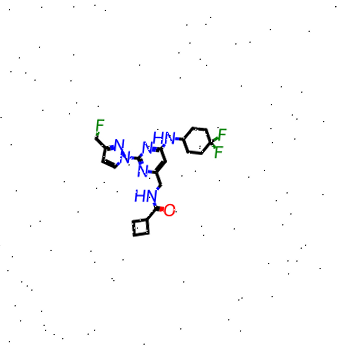 O=C(NCc1cc(NC2CCC(F)(F)CC2)nc(-n2ccc(CF)n2)n1)C1CCC1